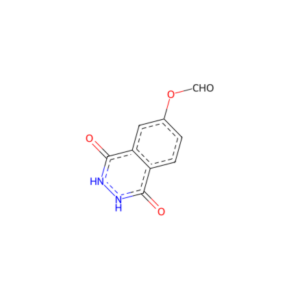 O=COc1ccc2c(=O)[nH][nH]c(=O)c2c1